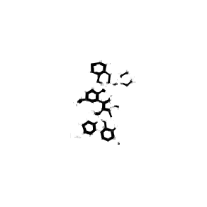 COc1cccc(CN(C(=O)c2c(-c3cc(C#N)ccc3C(=O)N3Cc4ccccc4C[C@H]3CN3CCOCC3)cn(C)c2C)c2ccc(O)cc2)c1C